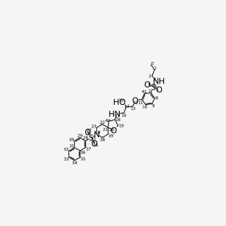 CCCNS(=O)(=O)c1cccc(OCC(O)CNC2COC3(CCN(S(=O)(=O)c4ccc5ccccc5c4)CC3)C2)c1